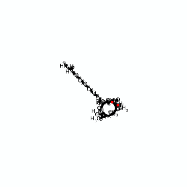 COc1cc2cc(c1Cl)N(C)C(=O)C[C@H](OC(=O)COCCOCCOCCOCCOCCOCCNC(=O)CNNI)[C@@]1(C)C[C@@H](O1)[C@@H]1C[C@@](O)(NC(=O)O1)[C@H](OC)/C=C/C=C(\C)C2